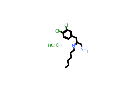 CCCCCCN=C(CN)Cc1ccc(Cl)c(Cl)c1.Cl.Cl